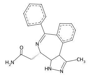 CC1=NNC2C1c1ccccc1C(c1ccccc1)=N[C@H]2CC(N)=O